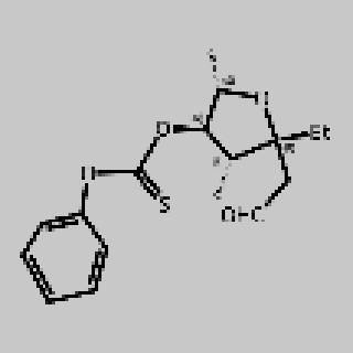 CC[C@]1(CC=O)O[C@@H](C)[C@H](OC(=S)Oc2ccccc2)[C@H]1C